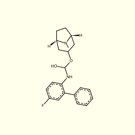 CN1[C@@H]2CC[C@H]1CC(OC(O)Nc1ccc(F)cc1-c1ccccc1)C2